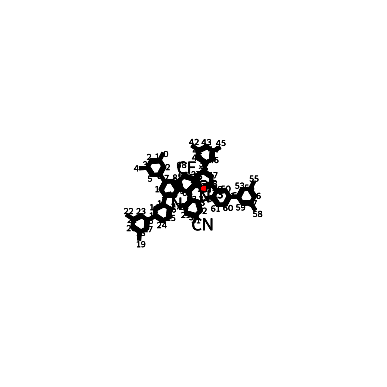 Cc1cc(C)cc(-c2ccc3c(c2)c2cc(-c4cc(C)cc(C)c4)ccc2n3-c2cc(C#N)cc(-n3c4ccc(-c5cc(C)cc(C)c5)cc4c4cc(-c5cc(C)cc(C)c5)ccc43)c2-c2ccc(C(F)(F)F)cc2C(F)(F)F)c1